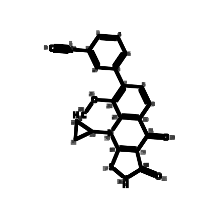 [C-]#[N+]c1cccc(-c2ccc3c(=O)c4c(=O)[nH]sc4n(C4CC4)c3c2OC)c1